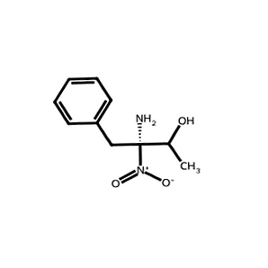 CC(O)[C@](N)(Cc1ccccc1)[N+](=O)[O-]